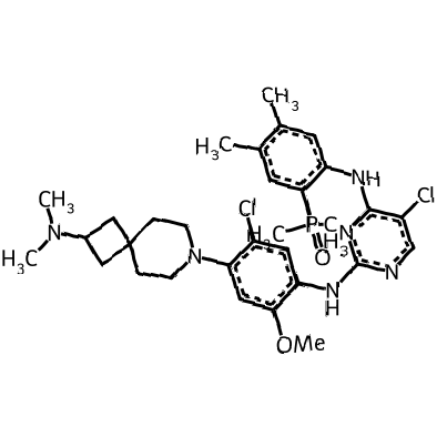 COc1cc(N2CCC3(CC2)CC(N(C)C)C3)c(Cl)cc1Nc1ncc(Cl)c(Nc2cc(C)c(C)cc2P(C)(C)=O)n1